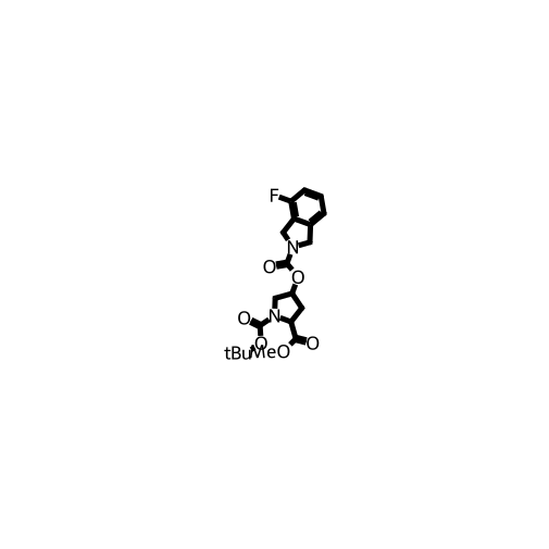 COC(=O)C1CC(OC(=O)N2Cc3cccc(F)c3C2)CN1C(=O)OC(C)(C)C